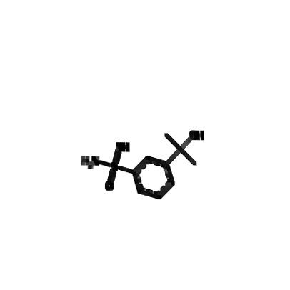 CC(C)(O)c1cccc(S(=N)(N)=O)c1